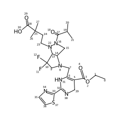 CCOC(=O)C1=C(CN2CC(F)(F)C3C2CN(C(=O)C(C)C)N3CCC(C)(C)C(=O)O)NC(c2nccs2)=NC1